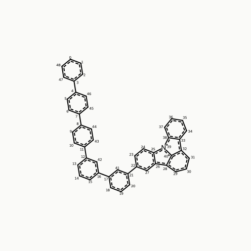 c1ccc(-c2ccc(-c3ccc(-c4cccc(-c5cccc(-c6ccc7c(c6)c6cccc8c9ccccc9n7c86)c5)c4)cc3)cc2)cc1